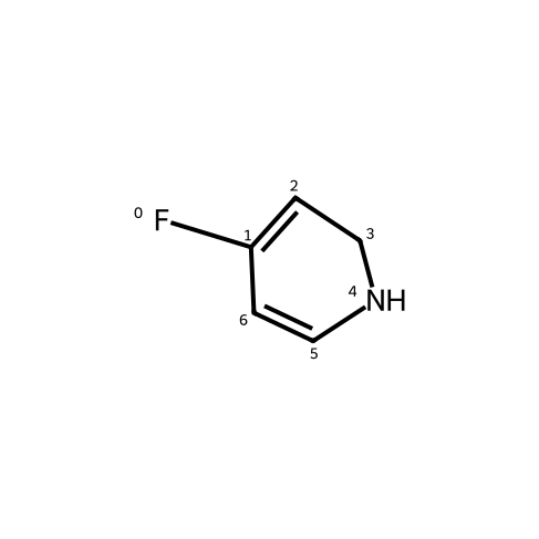 FC1=CCNC=C1